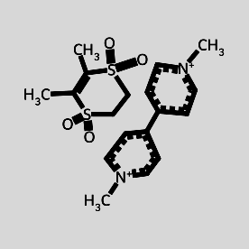 CC1=C(C)S(=O)(=O)CCS1(=O)=O.C[n+]1ccc(-c2cc[n+](C)cc2)cc1